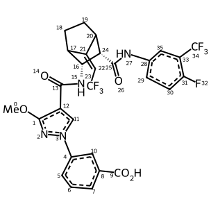 COc1nn(-c2cccc(C(=O)O)c2)cc1C(=O)N[C@@H]1C2CCC(/C2=C/C(F)(F)F)[C@@H]1C(=O)Nc1ccc(F)c(C(F)(F)F)c1